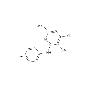 CSc1nc(Cl)c(C#N)c(Nc2ccc(I)cc2)n1